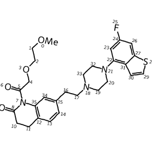 COCCOCC(=O)N1C(=O)CCc2ccc(CCN3CCN(c4cc(F)cc5sccc45)CC3)cc21